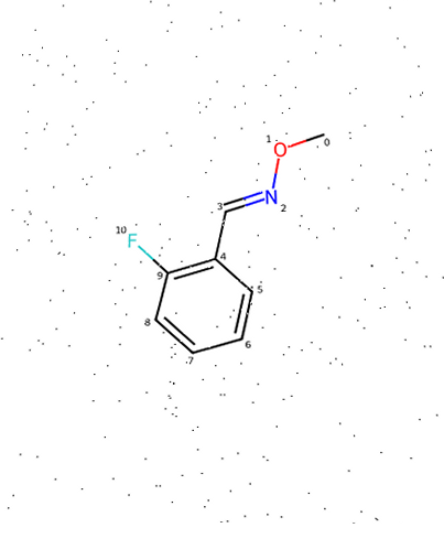 CON=Cc1[c]cccc1F